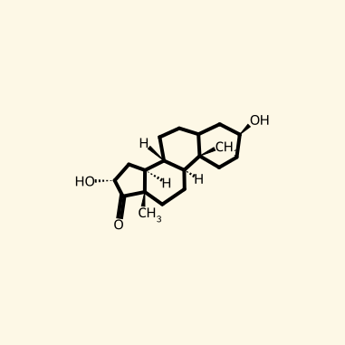 C[C@]12CC[C@H](O)CC1CC[C@@H]1[C@@H]2CC[C@]2(C)C(=O)[C@H](O)C[C@@H]12